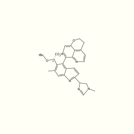 Cc1cc2nc(C3CN(C)C=N3)ccc2c(-c2ccc3c4c(ccnc24)CCO3)c1[C@H](OC(C)(C)C)C(=O)O